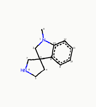 CN1CC2(CCNC2)c2ccccc21